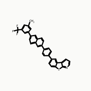 Cc1cc(-c2ccc3cc(-c4ccc(-c5ccc6sc7ncccc7c6c5)cc4)ccc3c2)cc(C(F)(F)F)c1